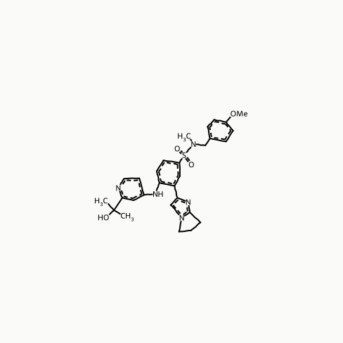 COc1ccc(CN(C)S(=O)(=O)c2ccc(Nc3ccnc(C(C)(C)O)c3)c(-c3cn4c(n3)CCC4)c2)cc1